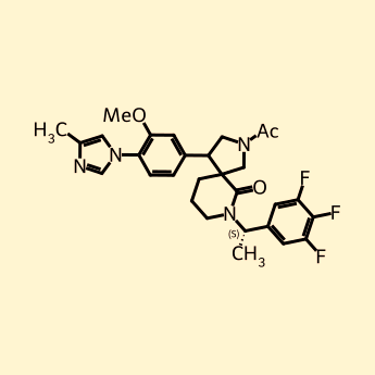 COc1cc(C2CN(C(C)=O)CC23CCCN([C@@H](C)c2cc(F)c(F)c(F)c2)C3=O)ccc1-n1cnc(C)c1